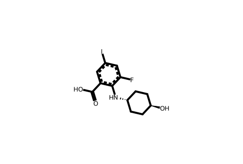 O=C(O)c1cc(I)cc(F)c1N[C@H]1CC[C@H](O)CC1